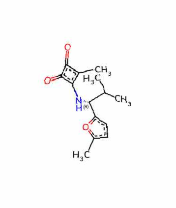 Cc1ccc([C@H](Nc2c(C)c(=O)c2=O)C(C)C)o1